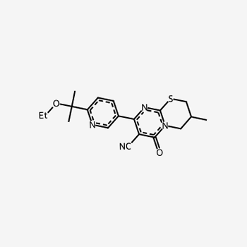 CCOC(C)(C)c1ccc(-c2nc3n(c(=O)c2C#N)CC(C)CS3)cn1